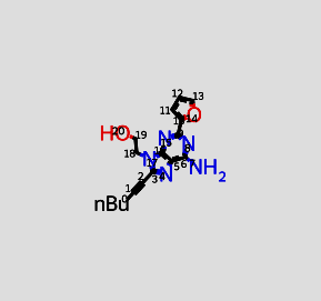 CCCCC#Cc1nc2c(N)nc(-c3ccco3)nc2n1CCO